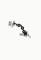 CC(C)CCN1CCN(Cc2ccc(-c3ccc(C(C)(O)C(F)(F)F)cc3)cc2)CC1